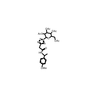 COc1ccc(C(C)NC(=O)Cc2nnn(C3OC(COC(C)=O)C(OC(C)=O)C(OC(C)=O)C3OC(C)=O)n2)cc1